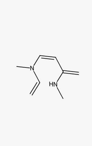 C=CN(C)/C=C\C(=C)NC